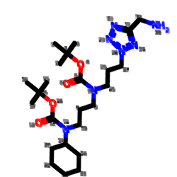 CC(C)(C)OC(=O)N(CCCN(C(=O)OC(C)(C)C)C1CCCCC1)CCCn1nnc(CN)n1